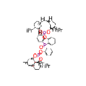 CC(C)C1CC[C@@H](C)C[C@H]1OP(Oc1ccccc1P(=O)(c1ccccc1)c1ccccc1OP1O[C@@H]2C[C@@H](CCC2C(C)C)C[C@@H]2CC[C@@H](C(C)C)[C@@H](C2)O1)O[C@@H]1C[C@H](C)CC[C@H]1C(C)C